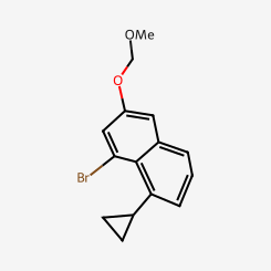 COCOc1cc(Br)c2c(C3CC3)cccc2c1